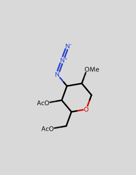 COC1COC(COC(C)=O)C(OC(C)=O)C1N=[N+]=[N-]